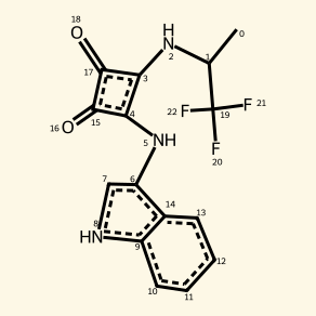 CC(Nc1c(Nc2c[nH]c3ccccc23)c(=O)c1=O)C(F)(F)F